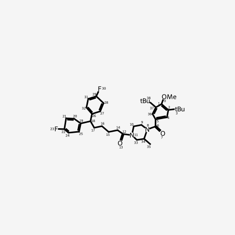 COc1c(C(C)(C)C)cc(C(=O)N2CCN(C(=O)CCCCC(c3ccc(F)cc3)c3ccc(F)cc3)CC2C)cc1C(C)(C)C